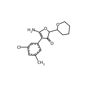 Cc1cc(Cl)cc(C2=C(N)OC(C3CCCCO3)C2=O)c1